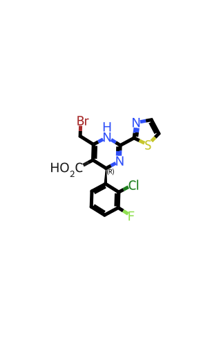 O=C(O)C1=C(CBr)NC(c2nccs2)=N[C@H]1c1cccc(F)c1Cl